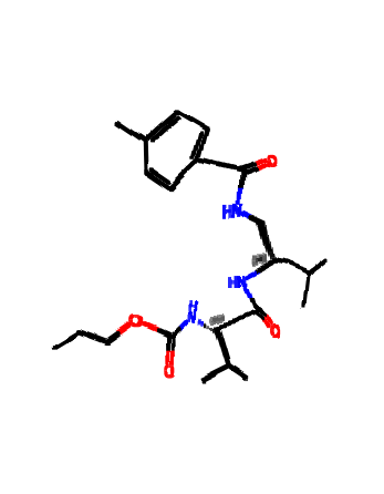 CCCOC(=O)N[C@H](C(=O)N[C@@H](CNC(=O)c1ccc(C)cc1)C(C)C)C(C)C